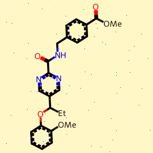 CCC(Oc1ccccc1OC)c1cnc(C(=O)NCc2ccc(C(=O)OC)cc2)nc1